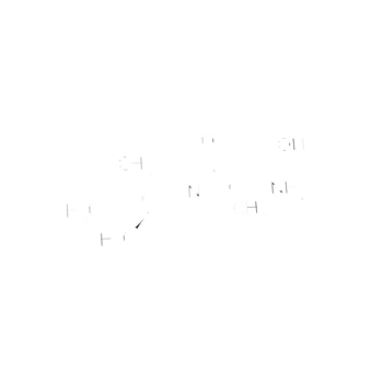 CC(C)[C@@]1(C)CCN(C(=O)[C@](C)(N)CO)C1